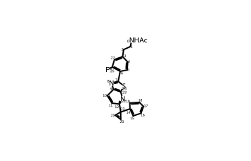 CC(=O)NCCc1ccc(-c2nc3ccc(C4(c5ccccc5)C=C4)nc3s2)c(F)c1